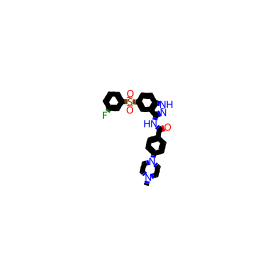 CN1CCN(c2ccc(C(=O)Nc3n[nH]c4ccc(S(=O)(=O)c5cccc(F)c5)cc34)cc2)CC1